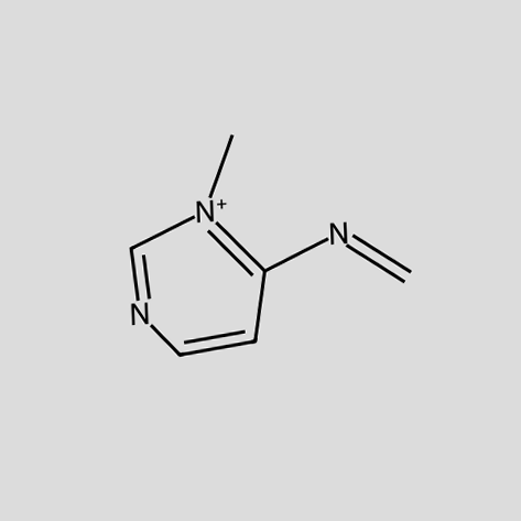 C=Nc1ccnc[n+]1C